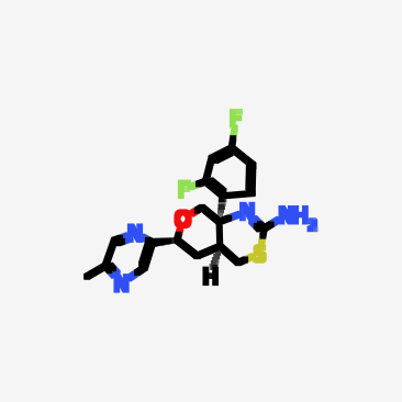 Cc1cnc([C@@H]2C[C@@H]3CSC(N)=N[C@]3(c3ccc(F)cc3F)CO2)cn1